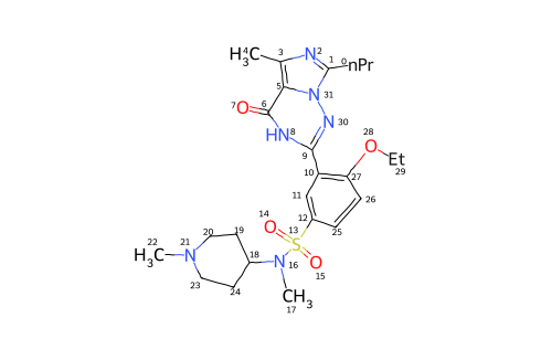 CCCc1nc(C)c2c(=O)[nH]c(-c3cc(S(=O)(=O)N(C)C4CCN(C)CC4)ccc3OCC)nn12